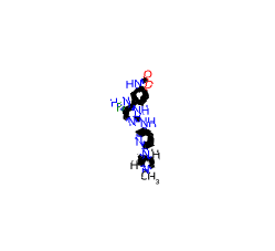 CN1C[C@@H]2C[C@H]1CN2c1ccc(NC2=NC=C(F)C(N)(c3ccc4oc(=O)[nH]c4c3)N2)cn1